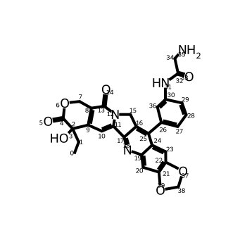 CCC1(O)C(=O)OCc2c1cc1n(c2=O)Cc2c-1nc1cc3c(cc1c2-c1cccc(NC(=O)CN)c1)OCO3